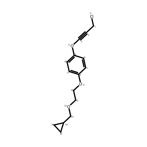 ClCC#COc1ccc(OCCOCC2CC2)cc1